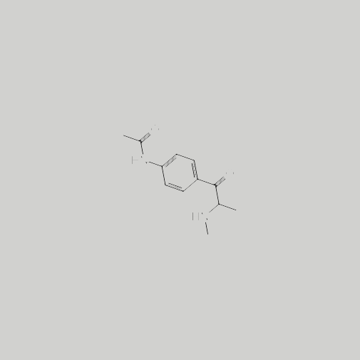 CNC(C)C(=O)c1ccc(NC(C)=O)cc1